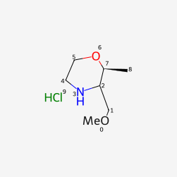 COCC1NCCO[C@H]1C.Cl